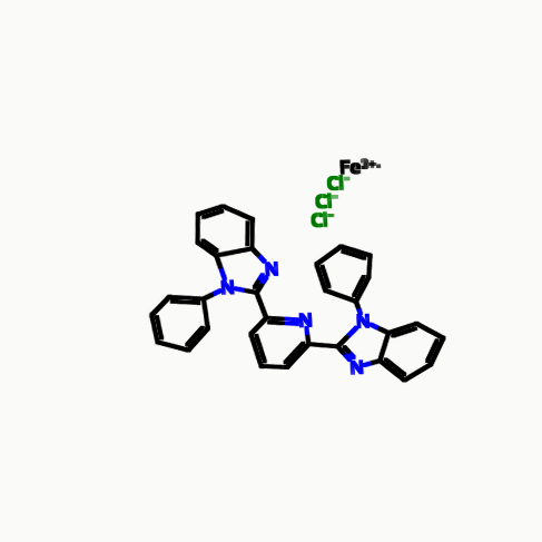 [Cl-].[Cl-].[Cl-].[Fe+3].c1ccc(-n2c(-c3cccc(-c4nc5ccccc5n4-c4ccccc4)n3)nc3ccccc32)cc1